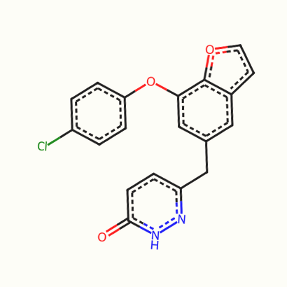 O=c1ccc(Cc2cc(Oc3ccc(Cl)cc3)c3occc3c2)n[nH]1